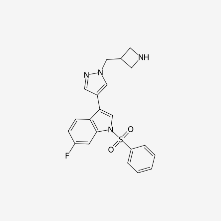 O=S(=O)(c1ccccc1)n1cc(-c2cnn(CC3CNC3)c2)c2ccc(F)cc21